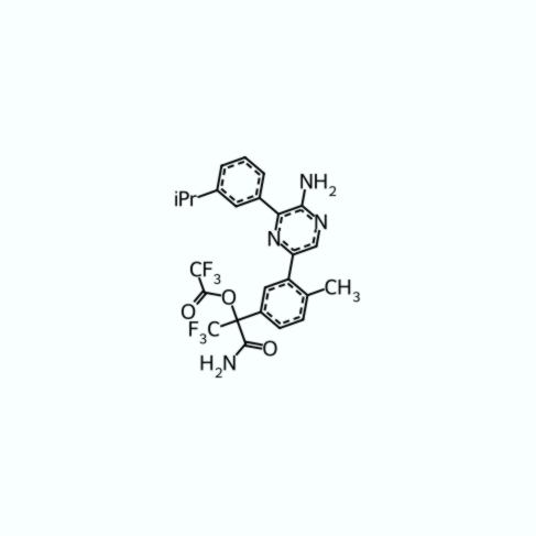 Cc1ccc(C(OC(=O)C(F)(F)F)(C(N)=O)C(F)(F)F)cc1-c1cnc(N)c(-c2cccc(C(C)C)c2)n1